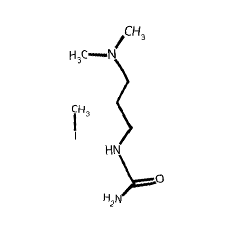 CI.CN(C)CCCNC(N)=O